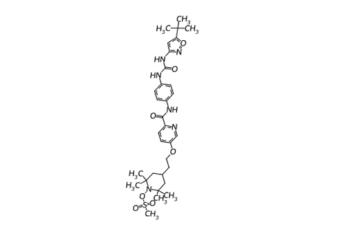 CC(C)(C)c1cc(NC(=O)Nc2ccc(NC(=O)c3ccc(OCCC4CC(C)(C)N(OS(C)(=O)=O)C(C)(C)C4)cn3)cc2)no1